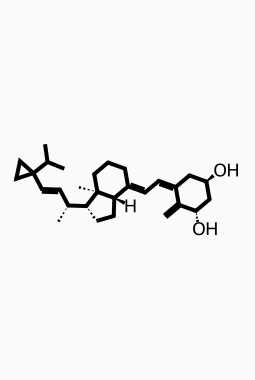 C=C1/C(=C\C=C2/CCC[C@]3(C)[C@@H]([C@H](C)/C=C/C4(C(C)C)CC4)CC[C@@H]23)C[C@@H](O)C[C@@H]1O